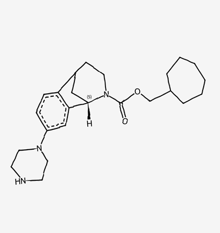 O=C(OCC1CCCCCC1)N1CCC2C[C@H]1c1cc(N3CCNCC3)ccc12